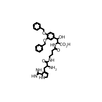 N=C(N)C1NCC=C1CC(N)C(=O)NCCCC(=O)NC(C(=O)O)C(O)c1ccc(OCc2ccccc2)c(OCc2ccccc2)c1